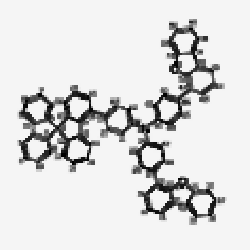 c1ccc(C2(c3ccccc3)c3ccccc3-c3c(-c4ccc(N(c5ccc(-c6cccc7c6oc6ccccc67)cc5)c5ccc(-c6cccc7c6oc6ccccc67)cc5)cc4)cccc32)cc1